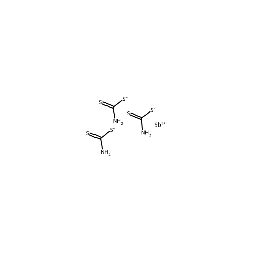 NC(=S)[S-].NC(=S)[S-].NC(=S)[S-].[Sb+3]